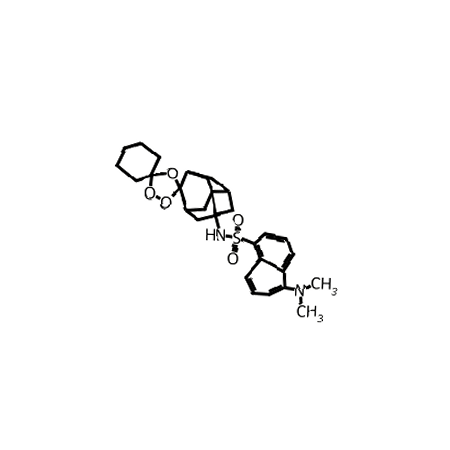 CN(C)c1cccc2c(S(=O)(=O)NC34CC5CC36CC(CC6C4)C53OOC4(CCCCC4)O3)cccc12